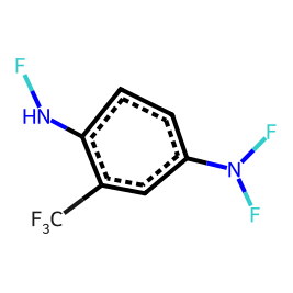 FNc1ccc(N(F)F)cc1C(F)(F)F